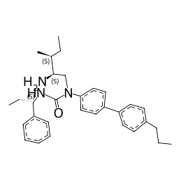 CCCc1ccc(-c2ccc(N(C[C@@H](N)[C@@H](C)CC)C(=O)N[C@@H](CC)c3ccccc3)cc2)cc1